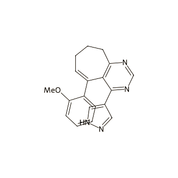 COc1ccccc1C1=CCCCc2ncnc(-c3cn[nH]c3)c21